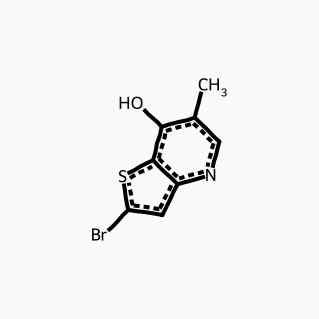 Cc1cnc2cc(Br)sc2c1O